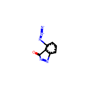 [N-]=[N+]=Nc1cccc2c1C(=O)N=N2